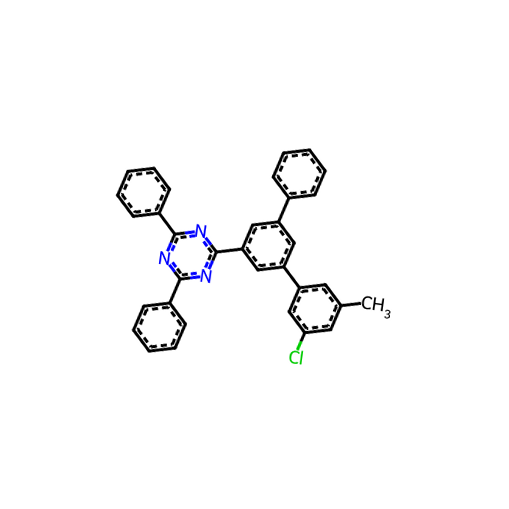 Cc1cc(Cl)cc(-c2cc(-c3ccccc3)cc(-c3nc(-c4ccccc4)nc(-c4ccccc4)n3)c2)c1